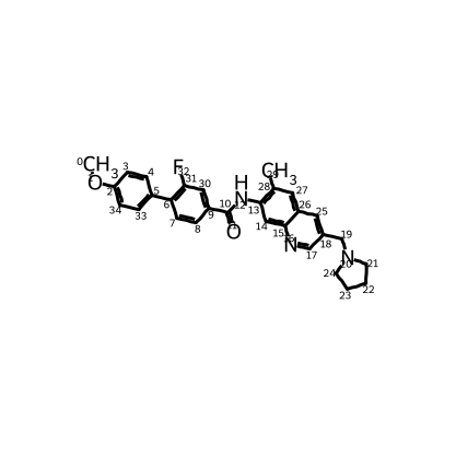 COc1ccc(-c2ccc(C(=O)Nc3cc4ncc(CN5CCCC5)cc4cc3C)cc2F)cc1